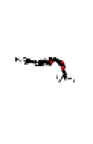 C=CC(=O)OCCCCOc1ccc(C(=O)Oc2ccc3cc(OCOc4ccc(OCCCCOOC(=C)C)cc4)ccc3c2)cc1